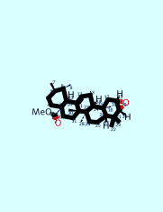 COC(=O)[C@]12CC[C@@H](C)[C@H](C)[C@H]1C1=CC[C@@H]3[C@@]4(C)C[C@@H]5O[C@@H]5C(C)(C)[C@@H]4CC[C@@]3(C)[C@]1(C)CC2